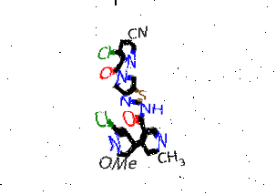 COc1cnc(Cl)cc1-c1cc(C)ncc1C(=O)Nc1nc2c(s1)CN(C(=O)c1ncc(C#N)cc1Cl)C2